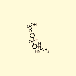 N=C(N)Nc1cccc(C(=O)Nc2ccc(OCC(=O)O)cc2)c1